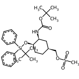 CC(C)(C)OC(=O)N[C@H]1C[C@@H](COS(C)(=O)=O)CC[C@H]1O[Si](c1ccccc1)(c1ccccc1)C(C)(C)C